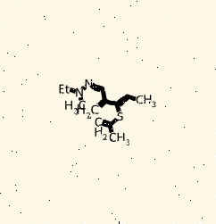 C=C(C)S/C(=C\C)C(=C)/C=N\N(C)CC